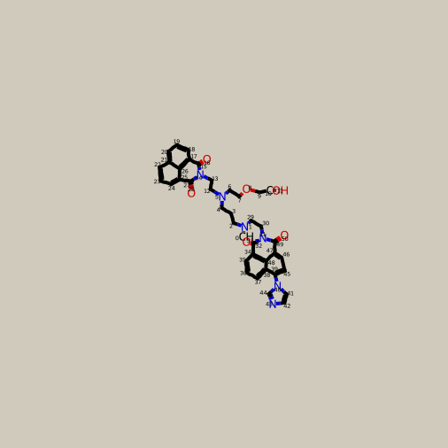 CN(CCCN(CCOCCO)CCN1C(=O)c2cccc3cccc(c23)C1=O)CCN1C(=O)c2cccc3c(-n4ccnc4)ccc(c23)C1=O